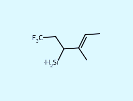 CC=C(C)C([SiH2])CC(F)(F)F